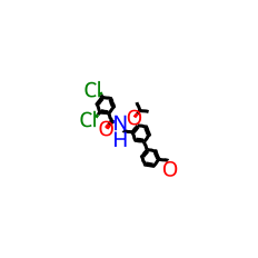 CC(C)Oc1ccc(-c2cccc(C=O)c2)cc1CNC(=O)c1ccc(Cl)cc1Cl